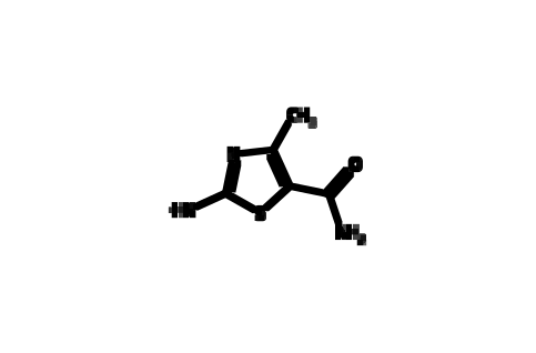 Cc1nc([NH])sc1C(N)=O